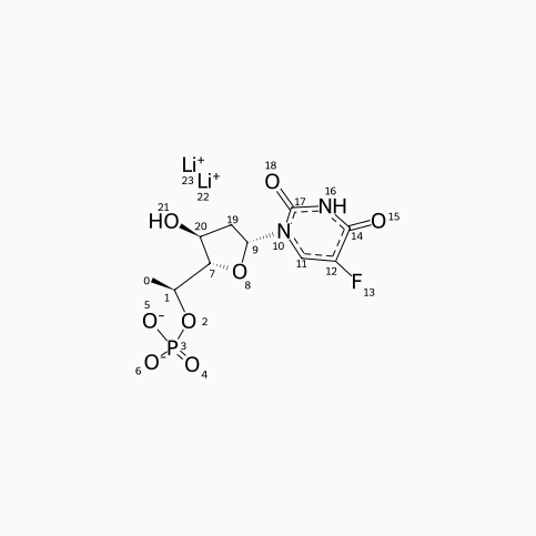 C[C@H](OP(=O)([O-])[O-])[C@H]1O[C@@H](n2cc(F)c(=O)[nH]c2=O)C[C@@H]1O.[Li+].[Li+]